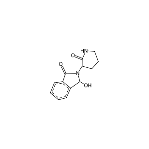 O=C1NCCCC1N1C(=O)c2ccccc2C1O